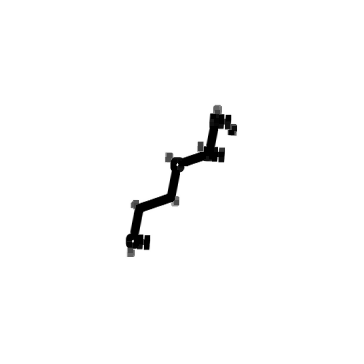 BBOCCO